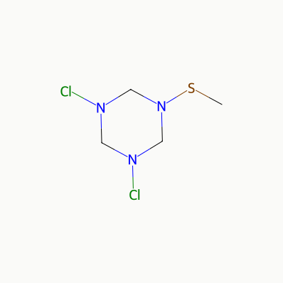 CSN1CN(Cl)CN(Cl)C1